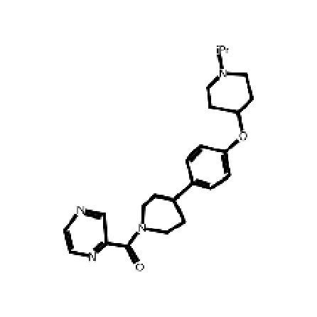 CC(C)N1CCC(Oc2ccc(C3CCN(C(=O)c4cnccn4)CC3)cc2)CC1